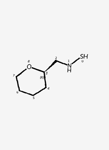 SNC[C@H]1CCCCO1